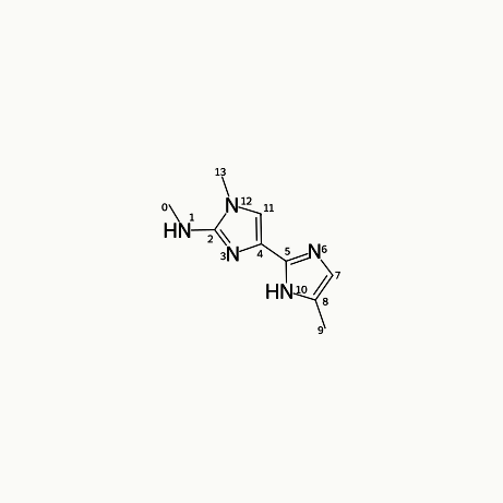 CNc1nc(-c2ncc(C)[nH]2)cn1C